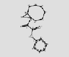 C=C(C(=O)Oc1ccccc1)C12CCCCCCC1C2